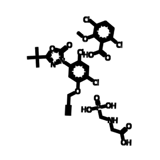 C#CCOc1cc(-n2nc(C(C)(C)C)oc2=O)c(Cl)cc1Cl.COc1c(Cl)ccc(Cl)c1C(=O)O.O=C(O)CNCP(=O)(O)O